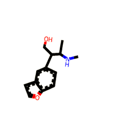 CNC(C)C(CO)c1ccc2occc2c1